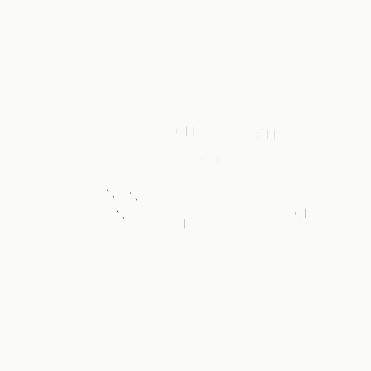 Cc1cc(C)c(O)c(Cc2cc(C)cc(-n3n4c5ccccc5n34)c2O)c1